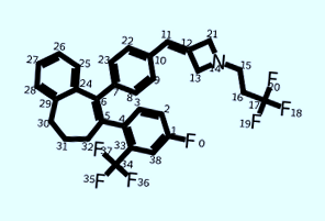 Fc1ccc(C2=C(c3ccc(C=C4CN(CCC(F)(F)F)C4)cc3)c3ccccc3CCC2)c(C(F)(F)F)c1